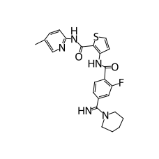 Cc1ccc(NC(=O)c2sccc2NC(=O)c2ccc(C(=N)N3CCCCC3)cc2F)nc1